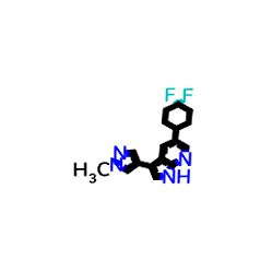 Cn1cc(-c2c[nH]c3ncc(C4CCC(F)(F)CC4)cc23)cn1